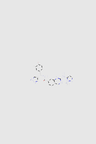 COc1ccc(C(NC(=O)c2ccc3cnc(Nc4ccnn4C)nc3c2)c2cnn(C)c2)cc1F